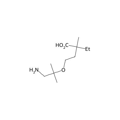 CCC(C)(CCOC(C)(C)CN)C(=O)O